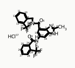 Cc1nc2c(C(=O)NCc3ccccc3C(F)(F)F)cc(NC(=O)c3ccccc3C(F)(F)F)cc2[nH]1.Cl